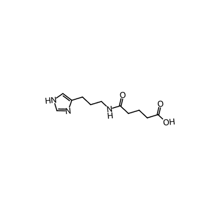 O=C(O)CCCC(=O)NCCCc1c[nH]cn1